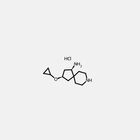 Cl.N[C@@H]1C[C@H](OC2CC2)CC12CCNCC2